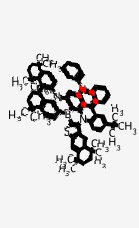 CC(C)(C)c1ccc(N2c3cc(N(c4ccccc4)c4ccccc4)cc4c3B(c3ccc5c6c3N4c3ccc4c(c3C6(C)CCC5(C)C)C(C)(C)CCC4(C)C)c3sc4cc5c(cc4c32)C(C)(C)CCC5(C)C)c(-c2ccccc2)c1